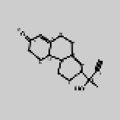 C#CC(C)(O)C1CCC2C(CCC3=CC(=O)CCC32)C1